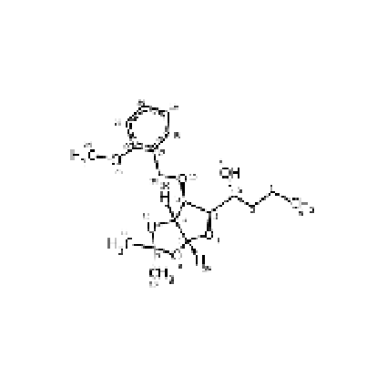 CCC[C@@H](O)[C@H]1O[C@@H]2OC(C)(C)O[C@@H]2[C@H]1OCc1ccccc1OC